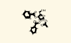 CC(=O)O[C@H]1O[C@H](CO)[C@@H](OC(=O)c2ccccc2)[C@H]1OC(=O)c1ccccc1